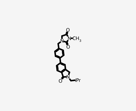 CC(C)CN1Cc2cc(-c3ccc(CN4CC(=O)N(C)C4=O)cc3)ccc2C1=O